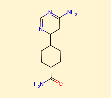 NC(=O)C1CCC(C2CC(N)=NC=N2)CC1